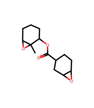 CC12OC1CCCC2OC(=O)C1CCC2OC2C1